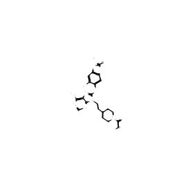 [2H]C1([2H])Oc2cc(Br)c(Sc3nc4c(N)ncnc4n3CCC3CCN(C(=O)[C@H](C)O)CC3)cc2O1